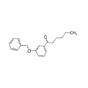 CCCCCC(=O)c1cccc(OCc2ccccc2)c1